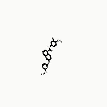 Cc1ccc(NC(=O)c2cccc3cc(Oc4ccnc(NC(C)C)n4)ccc23)cc1Cl